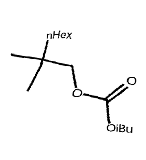 CCCCCCC(C)(C)COC(=O)OCC(C)C